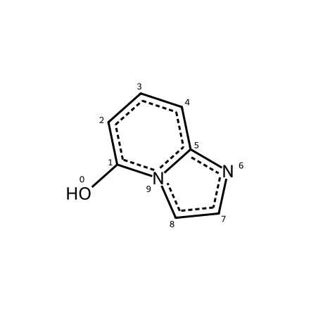 Oc1cccc2nccn12